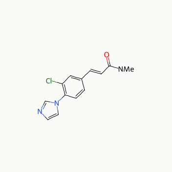 CNC(=O)C=Cc1ccc(-n2ccnc2)c(Cl)c1